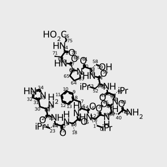 CC(C)C[C@H](NC(=O)[C@H](Cc1ccccc1)NC(=O)[C@H](C)NC(=O)[C@H](CC(C)C)NC(=O)[C@@H](N)Cc1c[nH]cn1)C(=O)N[C@@H](CC(N)=O)C(=O)N[C@H](C(=O)N[C@@H](CC(C)C)C(=O)N[C@@H](CO)C(=O)N1CCC[C@H]1C(=O)N[C@@H](C)C(=O)NCC(=O)O)C(C)C